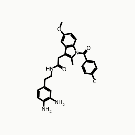 COc1ccc2c(c1)c(CC(=O)NCCc1ccc(N)c(N)c1)c(C)n2C(=O)c1ccc(Cl)cc1